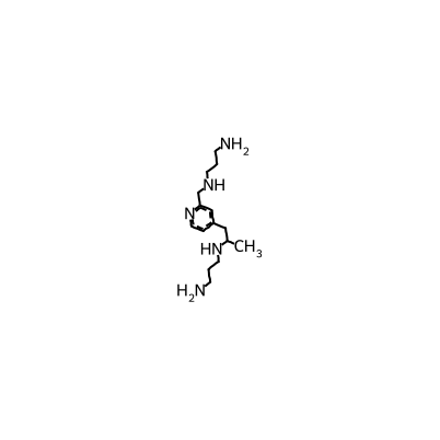 CC(Cc1ccnc(CNCCCN)c1)NCCCN